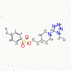 CCc1ccc(S(=O)(=O)OCCC2CCN(c3nnnn3CC)CC2)cc1